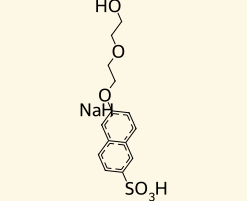 O=S(=O)(O)c1ccc2cc(OCCOCCO)ccc2c1.[NaH]